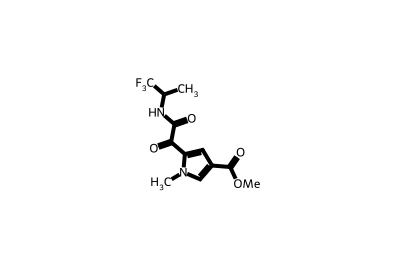 COC(=O)c1cc(C(=O)C(=O)NC(C)C(F)(F)F)n(C)c1